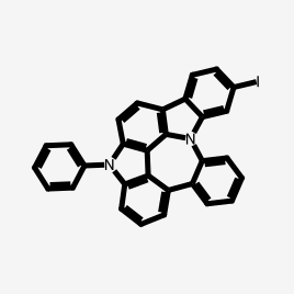 Ic1ccc2c3ccc4c5c6c(cccc6n4-c4ccccc4)c4ccccc4n(c2c1)c35